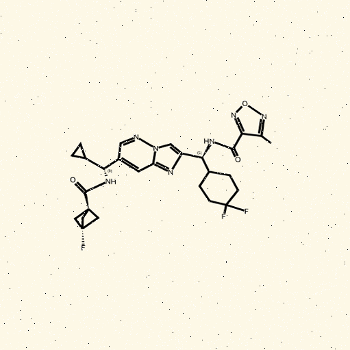 Cc1nonc1C(=O)N[C@H](c1cn2ncc([C@H](NC(=O)[C@]34C[C@@](F)(C3)C4)C3CC3)cc2n1)C1CCC(F)(F)CC1